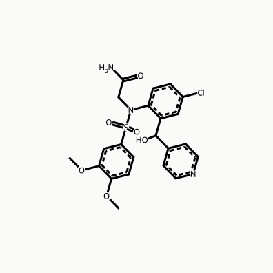 COc1ccc(S(=O)(=O)N(CC(N)=O)c2ccc(Cl)cc2C(O)c2ccncc2)cc1OC